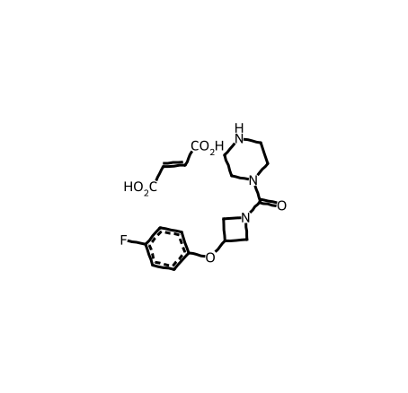 O=C(N1CCNCC1)N1CC(Oc2ccc(F)cc2)C1.O=C(O)C=CC(=O)O